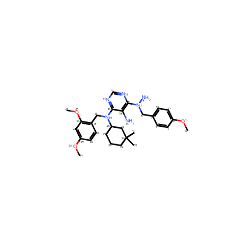 COc1ccc(CN(N)c2ncnc(N(Cc3ccc(OC)cc3OC)C3CCCC(C)(C)C3)c2N)cc1